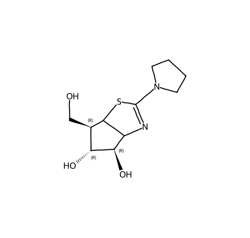 OC[C@H]1C2SC(N3CCCC3)=NC2[C@@H](O)[C@@H]1O